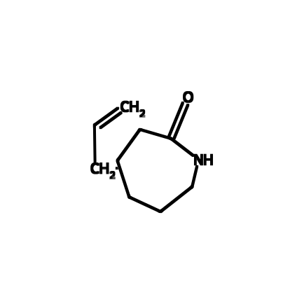 O=C1CCCCCN1.[CH2]C=C